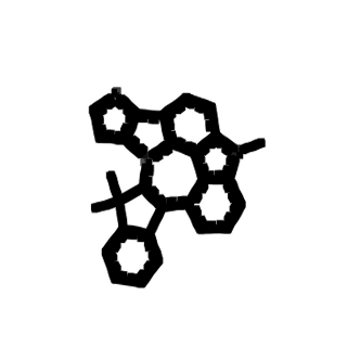 Cn1c2cccc3c4c(n5c6ccsc6c6ccc1c(c32)c65)C(C)(C)c1ccccc1-4